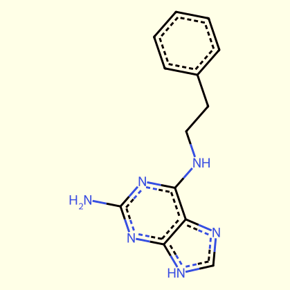 Nc1nc(NCCc2ccccc2)c2nc[nH]c2n1